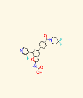 CN(C(=O)O)c1cc2cc(-c3ccc(C(=O)N4CCC(F)(F)CC4)cc3)cc(-c3ccncc3F)c2o1